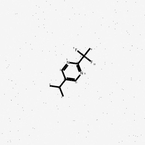 CC(C)c1cnc(C(C)(F)F)nc1